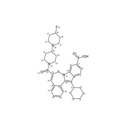 O=C(O)c1ccc2c(C3CCCCC3)c3n(c2c1)CC(C(=O)N1CCC(N2CCC(F)CC2)CC1)=Cc1ccccc1-3